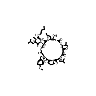 CCCCNC(=O)N(C)[C@H](CC(C)C)C(=O)N[C@@H]1C(=O)N[C@H]([C@@H](C)CC)[C@@H](O)CC(=O)O[C@@H](C(C)C)C(=O)[C@H](C)C(=O)N[C@@H](CC(C)C)C(=O)N2CCC[C@H]2C(=O)N(C)[C@@H](Cc2ccc(OC)cc2)C(=O)O[C@@H]1C